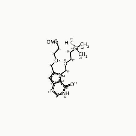 COCCOCc1cc2nc[nH]c(=O)c2n1COCC[Si](C)(C)C